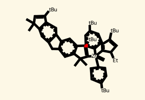 [CH2]=[Zr]([C]1=CC(C(C)(C)C)=CC1CC)([C]1=C(C(C)(C)C)c2cc3c(cc2C1(C)C)Cc1cc2c(cc1-3)C(C(C)(C)C)=CC2(C)C)([c]1ccc(C(C)(C)C)cc1)[c]1ccc(C(C)(C)C)cc1